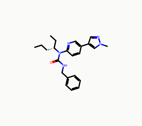 CCC[C@H](CC)N(C(=O)NCc1ccccc1)c1ccc(-c2cnn(C)c2)cn1